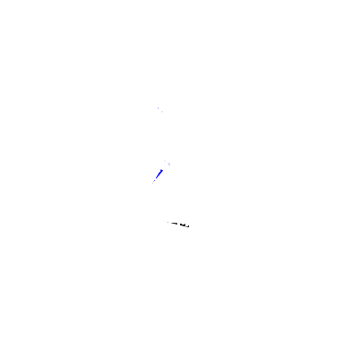 c1ccc([C@H]2CCC[C@H]2N=C2CCCN2)cc1